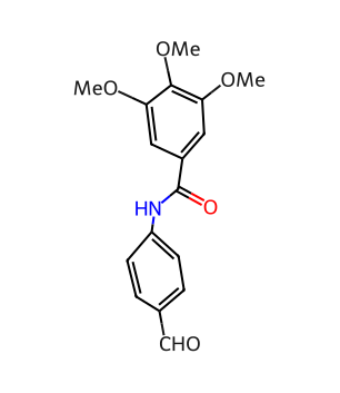 COc1cc(C(=O)Nc2ccc(C=O)cc2)cc(OC)c1OC